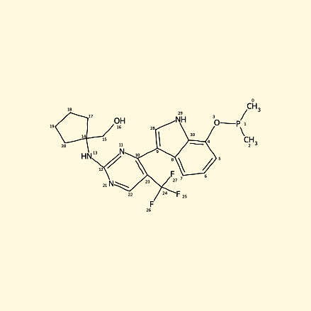 CP(C)Oc1cccc2c(-c3nc(NC4(CO)CCCC4)ncc3C(F)(F)F)c[nH]c12